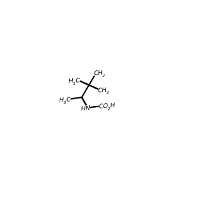 CC(NC(=O)O)C(C)(C)C